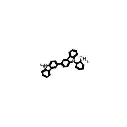 CC1C=CC=CC1n1c2ccccc2c2cc(-c3ccc4[nH]c5ccccc5c4c3)ccc21